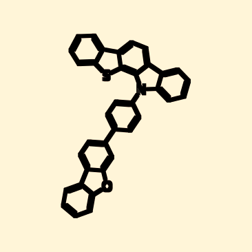 c1ccc2c(c1)oc1cc(-c3ccc(-n4c5ccccc5c5ccc6c7ccccc7sc6c54)cc3)ccc12